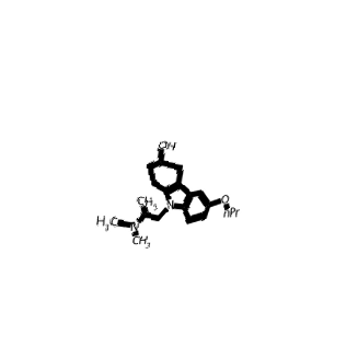 CCCOc1ccc2c(c1)c1c(n2CC(C)N(C)C)CCC(O)C1